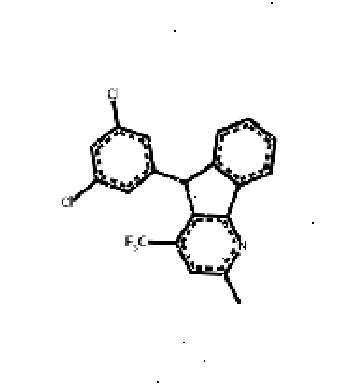 Cc1cc(C(F)(F)F)c2c(n1)-c1ccccc1C2c1cc(Cl)cc(Cl)c1